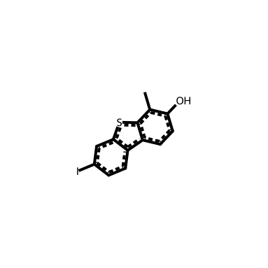 Cc1c(O)ccc2c1sc1cc(I)ccc12